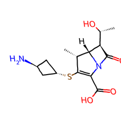 C[C@@H](O)[C@H]1C(=O)N2C(C(=O)O)=C(S[C@H]3C[C@H](N)C3)[C@H](C)[C@H]12